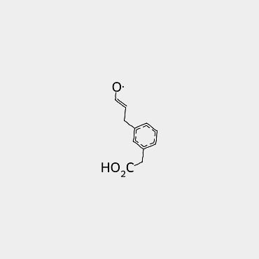 [O]C=CCc1cccc(CC(=O)O)c1